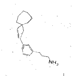 C=CC1(CCc2cccc(CCCN)c2)CCCCCC1